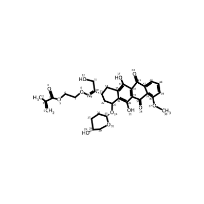 C=C(C)C(=O)OCCO/N=C(\CO)[C@@H]1Cc2c(O)c3c(c(O)c2C(O[C@H]2CC[C@@H](O)CO2)C1)C(=O)c1c(OC)cccc1C3=O